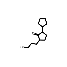 CC(C)CCCC1CCC(C2CCCC2)C1=O